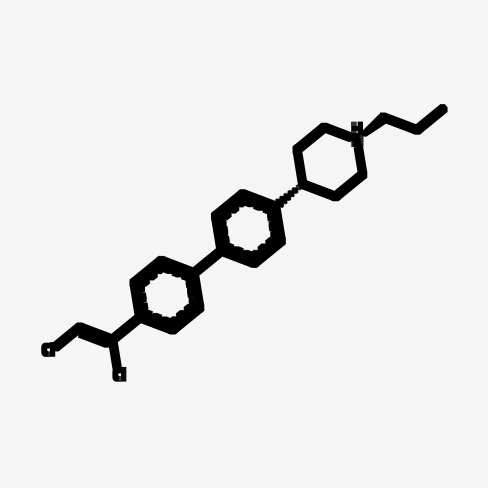 CCC[Si@H]1CC[C@H](c2ccc(-c3ccc(C(Cl)=CCl)cc3)cc2)CC1